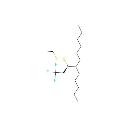 CCCCCCC(CCCCC)[C@@H](CC(F)(F)F)SSCC